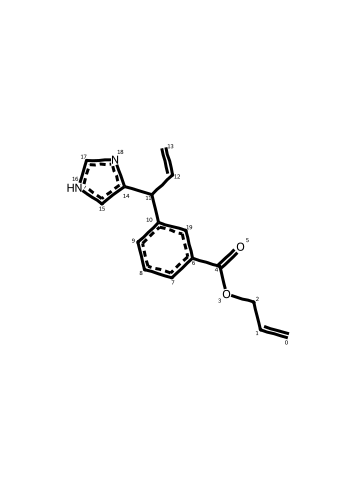 C=CCOC(=O)c1cccc(C(C=C)c2c[nH]cn2)c1